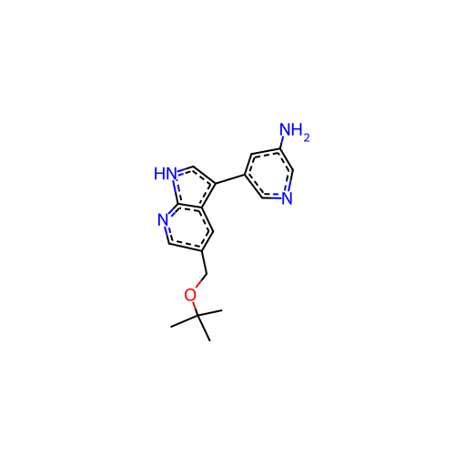 CC(C)(C)OCc1cnc2[nH]cc(-c3cncc(N)c3)c2c1